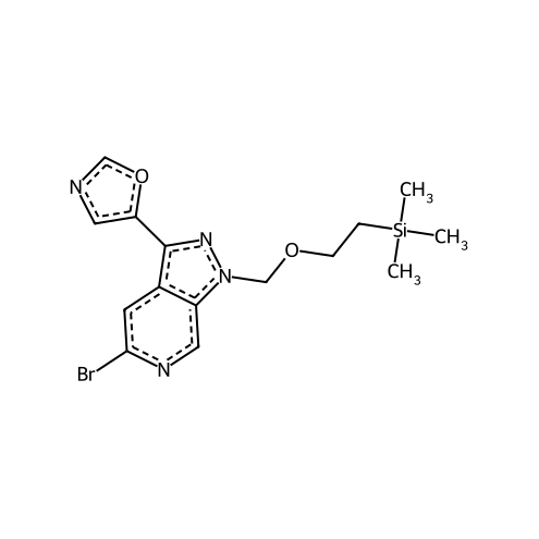 C[Si](C)(C)CCOCn1nc(-c2cnco2)c2cc(Br)ncc21